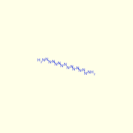 N/N=N/N=N/N=N/N=N/N=N/N=N/N=N/N